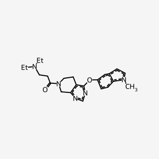 CCN(CC)CCC(=O)N1CCc2c(ncnc2Oc2ccc3c(ccn3C)c2)C1